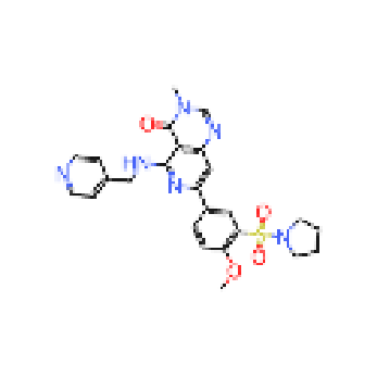 COc1ccc(-c2cc3ncn(C)c(=O)c3c(NCc3ccncc3)n2)cc1S(=O)(=O)N1CCCC1